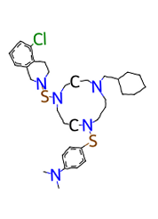 CN(C)c1ccc(SN2CCCN(CC3CCCCC3)CCCN(SN3CCc4c(Cl)cccc4C3)CCC2)cc1